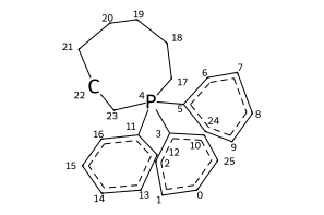 c1ccc(P2(c3ccccc3)(c3ccccc3)CCCCCCC2)cc1